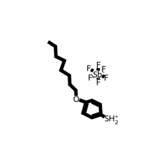 CCCCCCCCOc1ccc([SH2+])cc1.[F][Sb-]([F])([F])([F])([F])[F]